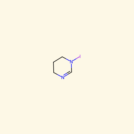 IN1C=NCCC1